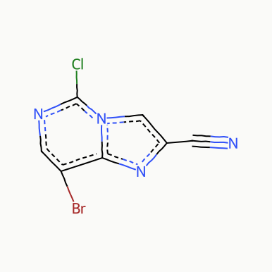 N#Cc1cn2c(Cl)ncc(Br)c2n1